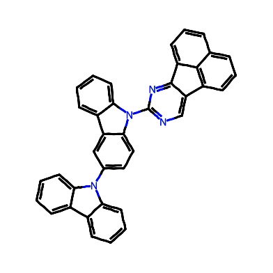 c1cc2c3c(cccc3c1)-c1nc(-n3c4ccccc4c4cc(-n5c6ccccc6c6ccccc65)ccc43)ncc1-2